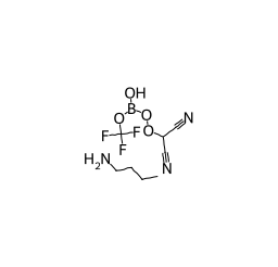 CCCCN.N#CC(C#N)OOB(O)OC(F)(F)F